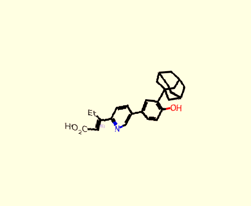 CC/C(=C\C(=O)O)c1ccc(-c2ccc(O)c(C34CC5CC(CC(C5)C3)C4)c2)cn1